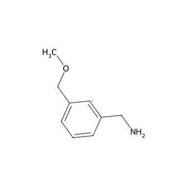 COCc1[c]c(CN)ccc1